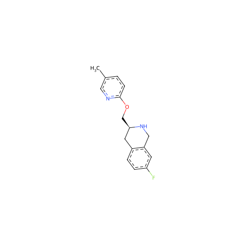 Cc1ccc(OC[C@@H]2Cc3ccc(F)cc3CN2)nc1